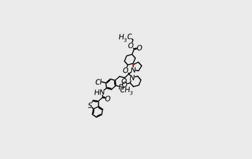 CCOC(=O)C1CCC(OC(C(=O)Cc2cc(Cl)c(NC(=O)c3csc4ccccc34)cc2F)(N2CCCC2)N2CCCCC2OC)CC1